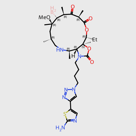 B[C@@H]1[C@@H](C)C(=O)[C@@H](C)C(=O)O[C@H](CC)[C@@]2(C)OC(=O)N(CCCCn3cc(-c4cnc(N)s4)nn3)[C@@H]2[C@@H](C)NC[C@H](C)C[C@@]1(C)OC